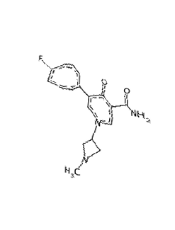 CN1CC(n2cc(C(N)=O)c(=O)c(-c3ccc(F)cc3)c2)C1